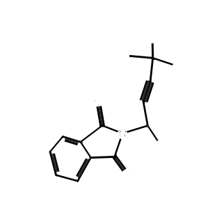 CC(C#CC(C)(C)C)N1C(=O)c2ccccc2C1=O